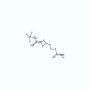 CNC(=O)CCCC1CN(C(=O)OC(C)(C)C)C1